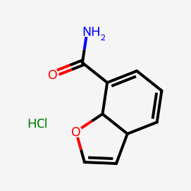 Cl.NC(=O)C1=CC=CC2C=COC12